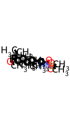 C=C(C)[C@@H]1CC[C@]2(C(C)=O)CC[C@]3(C)[C@H](CC[C@@H]4[C@@]5(C)CC=C(c6ccc(C(=O)NS(=O)(=O)C(C)C)cc6)C(C)(C)[C@@H]5CC[C@]43C)[C@@H]12